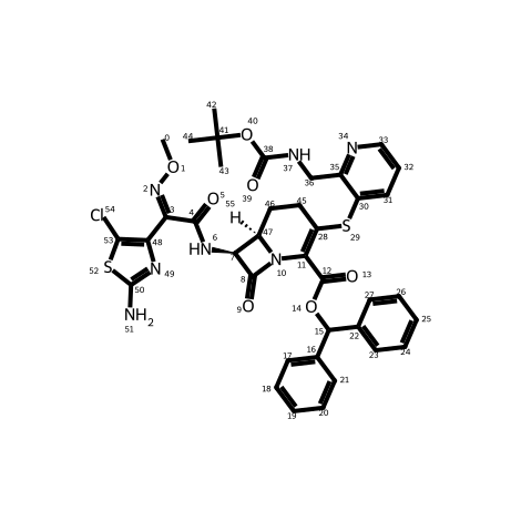 CO/N=C(\C(=O)N[C@@H]1C(=O)N2C(C(=O)OC(c3ccccc3)c3ccccc3)=C(Sc3cccnc3CNC(=O)OC(C)(C)C)CC[C@H]12)c1nc(N)sc1Cl